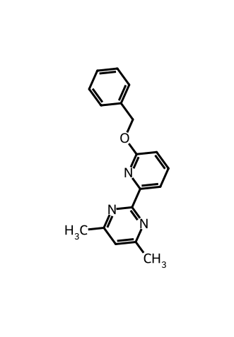 Cc1cc(C)nc(-c2cccc(OCc3ccccc3)n2)n1